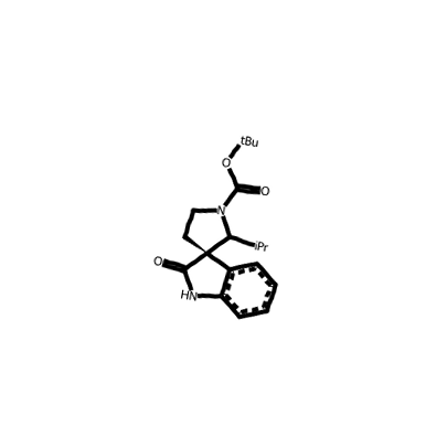 CC(C)C1N(C(=O)OC(C)(C)C)CC[C@@]12C(=O)Nc1ccccc12